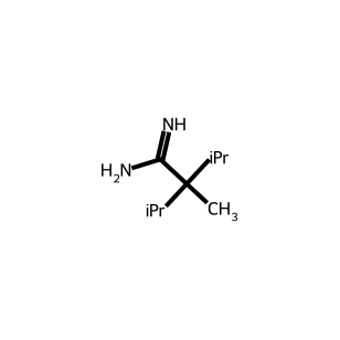 CC(C)C(C)(C(=N)N)C(C)C